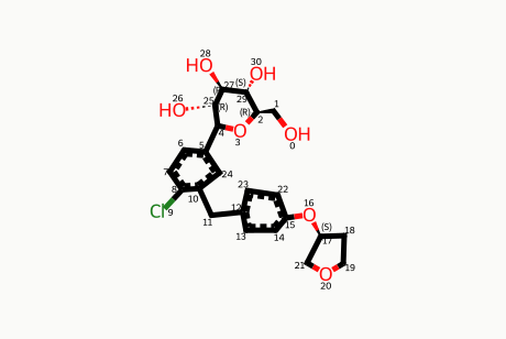 OC[C@H]1OC(c2ccc(Cl)c(Cc3ccc(O[C@H]4CCOC4)cc3)c2)[C@H](O)[C@@H](O)[C@@H]1O